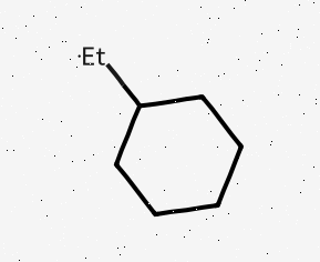 C[CH]C1CCCCC1